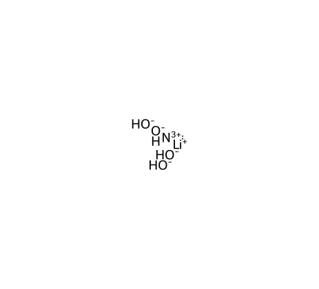 [Li+].[N+3].[OH-].[OH-].[OH-].[OH-]